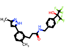 Cc1cc(-c2ccc(C)c(CCC(=O)NCc3ccc(C(O)(C(F)(F)F)C(F)(F)F)cc3)c2)[nH]n1